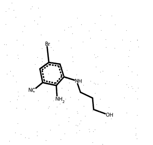 N#Cc1cc(Br)cc(NCCCO)c1N